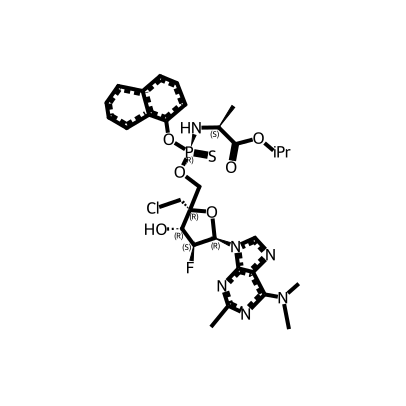 Cc1nc(N(C)C)c2ncn([C@@H]3O[C@](CCl)(CO[P@](=S)(N[C@@H](C)C(=O)OC(C)C)Oc4cccc5ccccc45)[C@@H](O)[C@@H]3F)c2n1